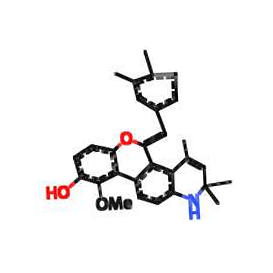 COc1c(O)ccc2c1-c1ccc3c(c1/C(=C/c1ccc(C)c(C)c1)O2)C(C)=CC(C)(C)N3